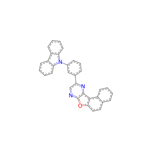 c1cc(-c2cnc3oc4ccc5ccccc5c4c3n2)cc(-n2c3ccccc3c3ccccc32)c1